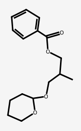 CC(COC(=O)c1ccccc1)COC1CCCCO1